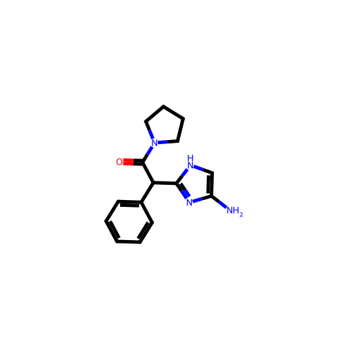 Nc1c[nH]c(C(C(=O)N2CCCC2)c2ccccc2)n1